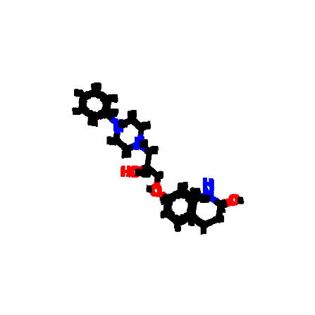 O=C1CCc2ccc(OCC(O)CN3CCN(c4ccccc4)CC3)cc2N1